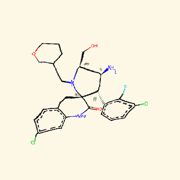 N[C@@H]1[C@H](CO)N(CC2CCCOC2)[C@]2(Cc3ccc(Cl)cc3NC2=O)[C@H]1c1cccc(Cl)c1F